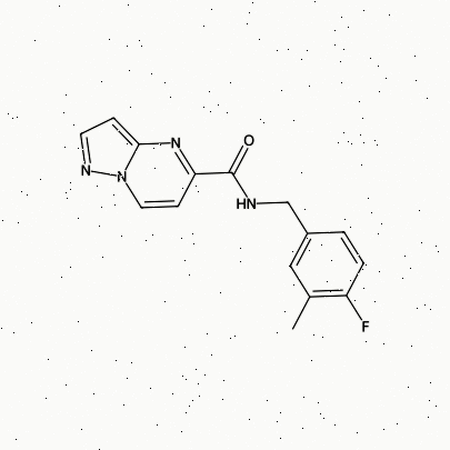 Cc1cc(CNC(=O)c2ccn3nccc3n2)ccc1F